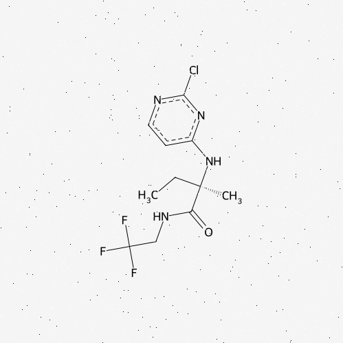 CC[C@@](C)(Nc1ccnc(Cl)n1)C(=O)NCC(F)(F)F